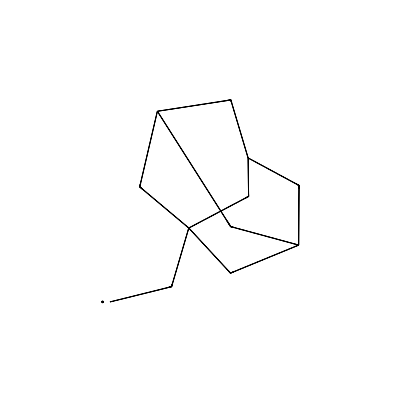 [CH2]CC12CC3CC(CC(C3)C1)C2